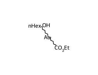 CCCCCCC(O)CCCCCCCCCCC(=O)OCC.[Au]